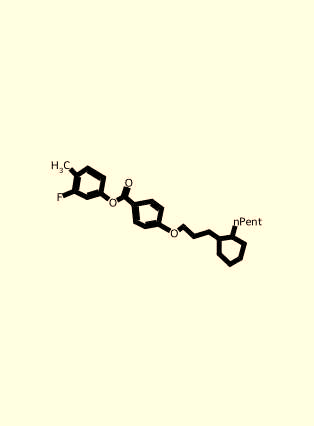 CCCCCC1CCCCC1CCCOc1ccc(C(=O)Oc2ccc(C)c(F)c2)cc1